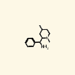 CC1CCN(C)C(C(N)c2ccccc2)C1